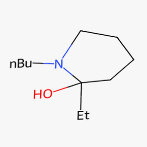 CCCCN1CCCCC1(O)CC